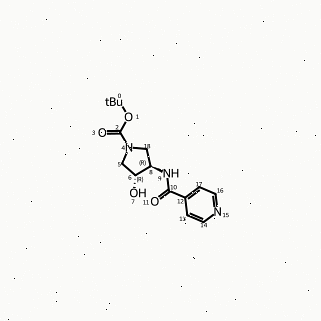 CC(C)(C)OC(=O)N1C[C@@H](O)[C@H](NC(=O)c2ccncc2)C1